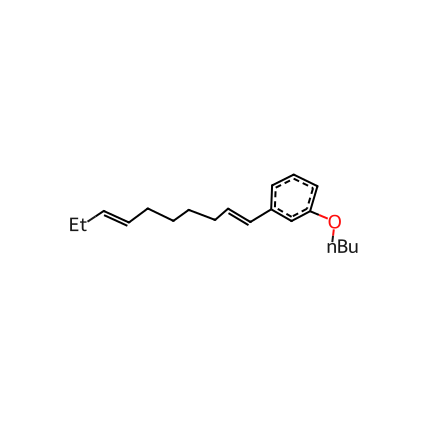 CCC=CCCCCC=Cc1cccc(OCCCC)c1